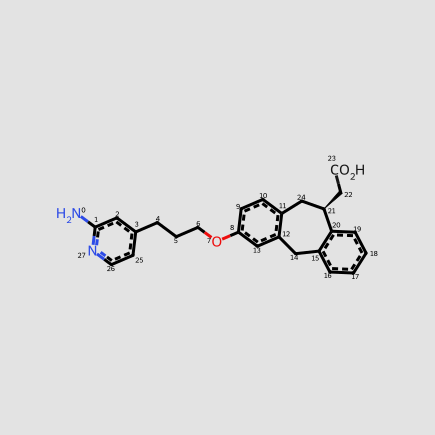 Nc1cc(CCCOc2ccc3c(c2)Cc2ccccc2[C@H](CC(=O)O)C3)ccn1